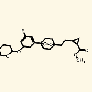 COC(=O)C1CC1CCC12CCC(c3cc(F)cc(OC4CCCCO4)c3)(CC1)OC2